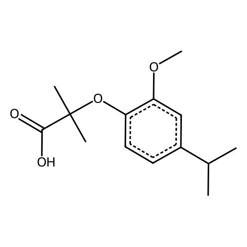 COc1cc(C(C)C)ccc1OC(C)(C)C(=O)O